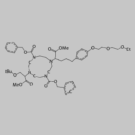 CCOCCOCCOc1ccc(CCCC(C(=O)OC)N2CCN(C(=O)OCc3ccccc3)CCN(C(COC(C)(C)C)C(=O)OC)CCN(C(=O)OCc3ccccc3)CC2)cc1